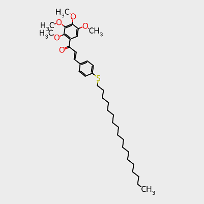 CCCCCCCCCCCCCCCCCCSc1ccc(C=CC(=O)c2cc(OC)c(OC)c(OC)c2OC)cc1